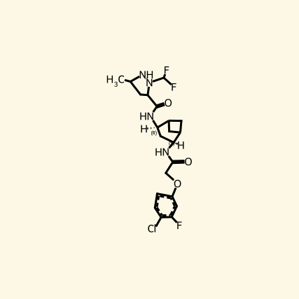 CC1CC(C(=O)N[C@@H]2C[C@H](NC(=O)COc3ccc(Cl)c(F)c3)C3CC2C3)N(C(F)F)N1